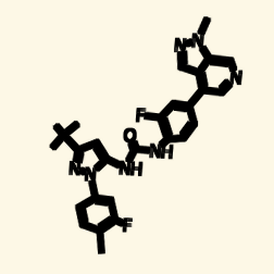 Cc1ccc(-n2nc(C(C)(C)C)cc2NC(=O)Nc2ccc(-c3cncc4c3cnn4C)cc2F)cc1F